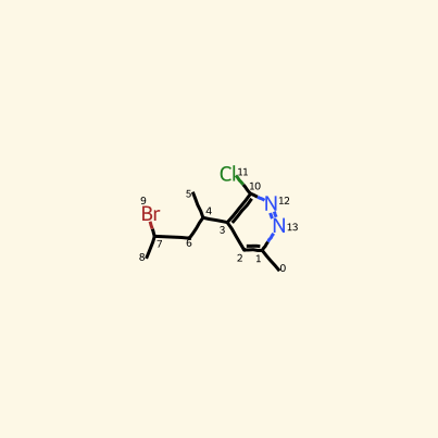 Cc1cc(C(C)CC(C)Br)c(Cl)nn1